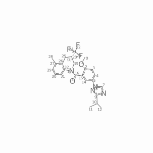 COc1ccc(-n2cnc(C(C)C)n2)cc1C(=O)N1C[C@@H](C(F)(F)F)Cc2c(C)cccc21